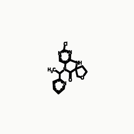 CC(c1ccccn1)N1C(=O)C2(CCOC2)Nc2nc(Cl)ncc21